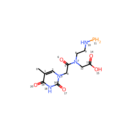 Cc1cn(CC(=O)N(CCNP)CC(=O)O)c(=O)[nH]c1=O